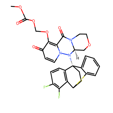 COC(=O)OCOc1c2n(ccc1=O)N([C@@]13CCC(Sc4ccccc41)c1c3ccc(F)c1F)[C@@H]1COCCN1C2=O